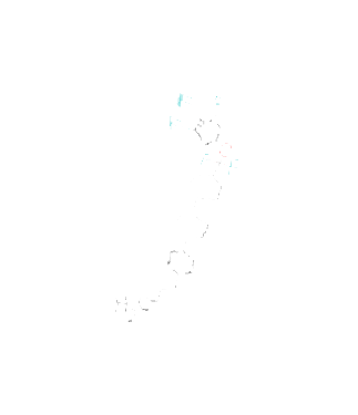 C=CCCc1ccc(C2CCC(C3CCC(C(F)(F)Oc4cc(F)c(F)c(F)c4)CC3)CC2)cc1